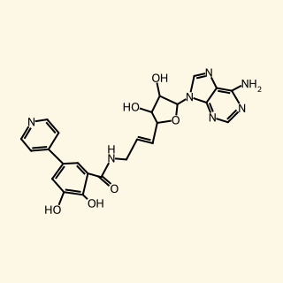 Nc1ncnc2c1ncn2C1OC(C=CCNC(=O)c2cc(-c3ccncc3)cc(O)c2O)C(O)C1O